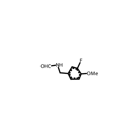 COc1ccc(CN[C]=O)cc1F